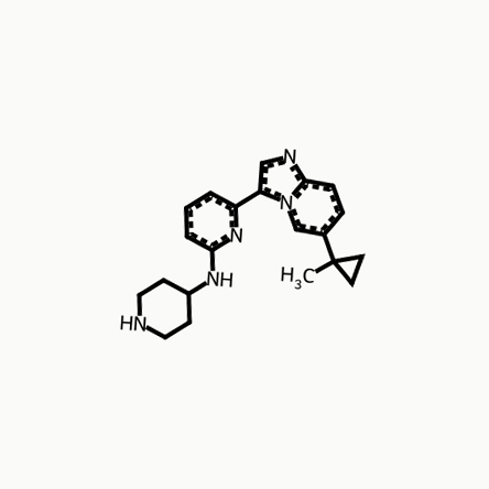 CC1(c2ccc3ncc(-c4cccc(NC5CCNCC5)n4)n3c2)CC1